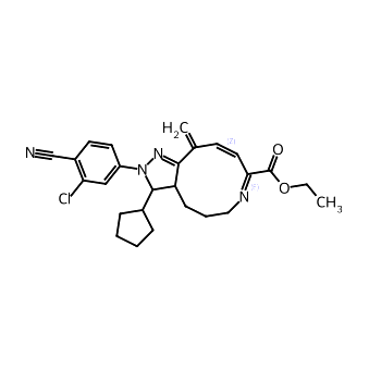 C=C1/C=C\C(C(=O)OCC)=N/CCCC2C1=NN(c1ccc(C#N)c(Cl)c1)C2C1CCCC1